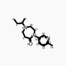 CCC(C)N1CCC(=O)N(c2ccc(C)nc2)CC1